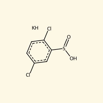 O=S(O)c1cc(Cl)ccc1Cl.[KH]